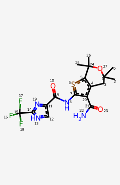 CC1(C)Cc2c(sc(NC(=O)c3c[nH]c(C(F)(F)F)n3)c2C(N)=O)C(C)(C)O1